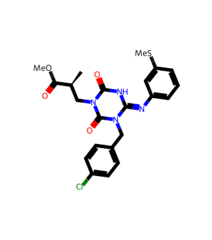 COC(=O)[C@@H](C)Cn1c(=O)[nH]/c(=N\c2cccc(SC)c2)n(Cc2ccc(Cl)cc2)c1=O